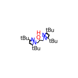 CC(C)(C)c1cc(C(C)(C)C)n(CC(O)Cn2nc(C(C)(C)C)cc2C(C)(C)C)n1